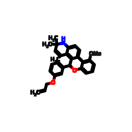 C=CCOc1cccc(C2Oc3cccc(OC)c3-c3ccc4c(c32)C(C)=CC(C)(C)N4)c1